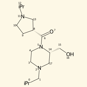 CC(C)CN1CCN(C(=O)[C@@H]2CCN(C(C)C)C2)[C@H](CO)C1